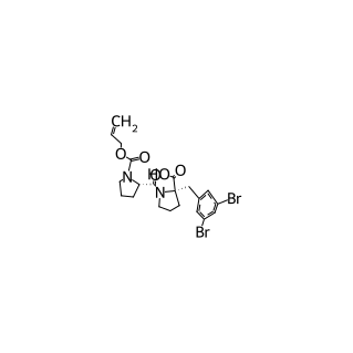 C=CCOC(=O)N1CCC[C@H]1C(=O)N1CCC[C@]1(Cc1cc(Br)cc(Br)c1)C(=O)O